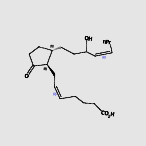 CCC/C=C\C(O)CC[C@H]1CCC(=O)[C@@H]1C/C=C\CCCC(=O)O